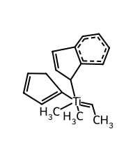 C[CH]=[Ti]([CH3])([CH3])([C]1=CC=CC1)[CH]1C=Cc2ccccc21